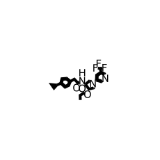 CCC(=O)OC1(NC(=O)Cc2ccc(C3CC3)cc2)CCN(c2cncc(C(F)(F)F)c2)C1